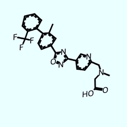 Cc1cc(-c2nc(-c3ccc(CN(C)CC(=O)O)nc3)no2)ccc1-c1ccccc1C(F)(F)F